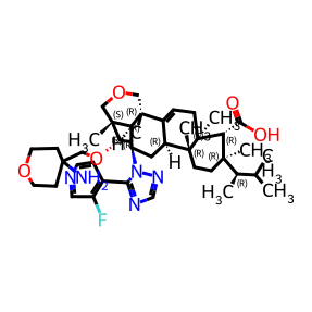 CC(C)[C@@H](C)[C@@]1(C)CC[C@]2(C)[C@H]3CC[C@@H]4[C@@]5(COC[C@@]4(C)[C@@H](OCC4(N)CCOCC4)[C@H](n4ncnc4-c4ccncc4F)C5)C3=CC[C@@]2(C)[C@@H]1C(=O)O